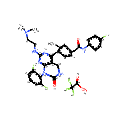 Cc1cc(C(=O)Nc2ccc(F)cc2)ccc1-c1nc(NCCN(C)C)nc2c1CNC(=O)N2c1c(F)cccc1F.O=C(O)C(F)(F)F